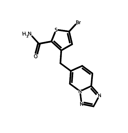 NC(=O)c1sc(Br)cc1Cc1ccc2ncnn2c1